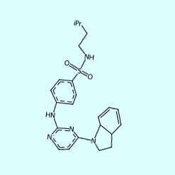 CC(C)CCNS(=O)(=O)c1ccc(Nc2nccc(N3CCC4C=CC=CC43)n2)cc1